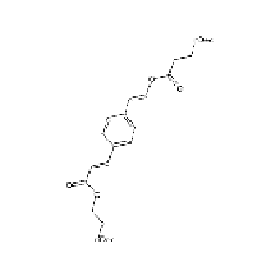 CCCCCCCCCCCCOC(=O)C=Cc1ccc(C=COC(=O)CCCCCCCCCCCC)cc1